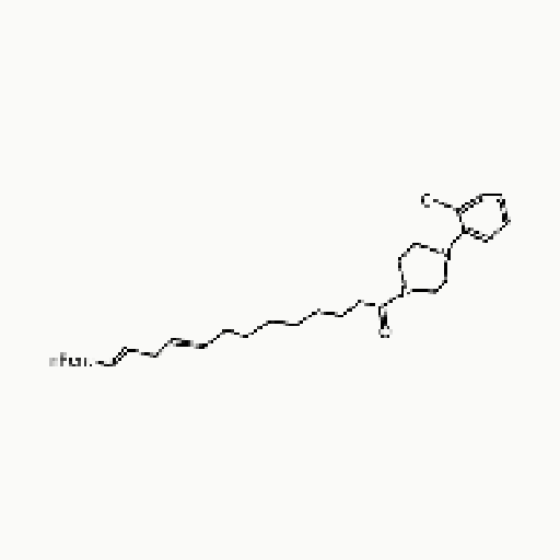 CCCCCC=CCC=CCCCCCCCC(=O)N1CCN(c2ccccc2Cl)CC1